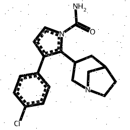 NC(=O)n1ccc(-c2ccc(Cl)cc2)c1C1CC2CCN(C2)C1